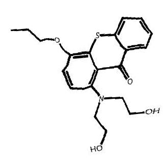 CCCOc1ccc(N(CCO)CCO)c2c(=O)c3ccccc3sc12